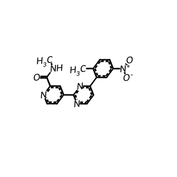 CNC(=O)c1cc(-c2nccc(-c3cc([N+](=O)[O-])ccc3C)n2)ccn1